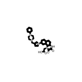 O=C(O)Cn1c(=O)c(=O)[nH]c2ccc3ccc(-n4ccc(CN5CCN(c6ccccc6)CC5)c4)cc3c21